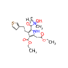 CCOC(=O)Cc1[nH]c(C(=O)[N+](C)(C)O)c(CCc2ccsc2)c1C(=O)OCC